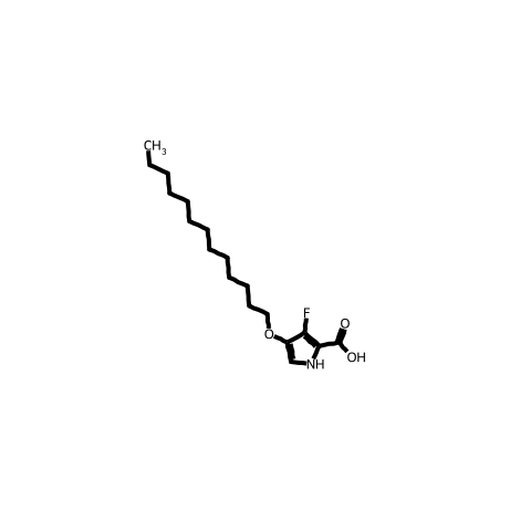 CCCCCCCCCCCCCOc1c[nH]c(C(=O)O)c1F